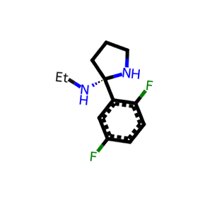 CCN[C@]1(c2cc(F)ccc2F)CCCN1